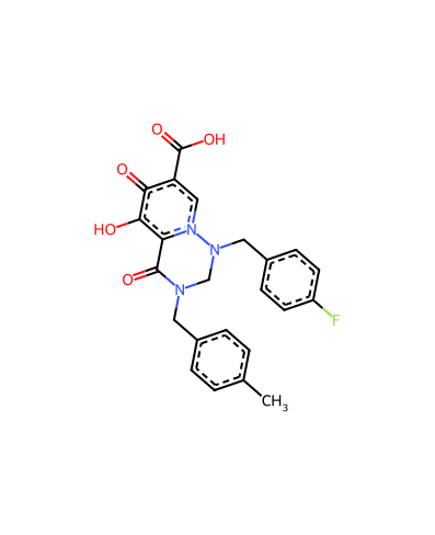 Cc1ccc(CN2CN(Cc3ccc(F)cc3)n3cc(C(=O)O)c(=O)c(O)c3C2=O)cc1